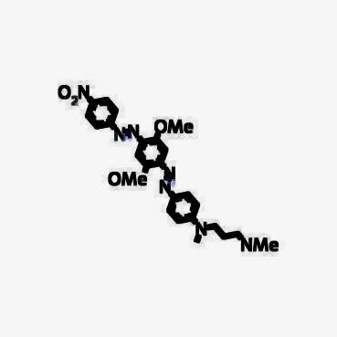 CNCCCN(C)c1ccc(/N=N/c2cc(OC)c(/N=N/c3ccc([N+](=O)[O-])cc3)cc2OC)cc1